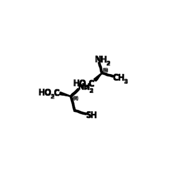 C[C@H](N)C(=O)O.N[C@@H](CS)C(=O)O